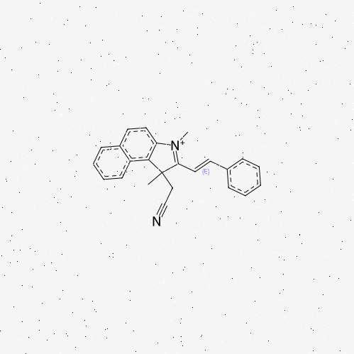 C[N+]1=C(/C=C/c2ccccc2)C(C)(CC#N)c2c1ccc1ccccc21